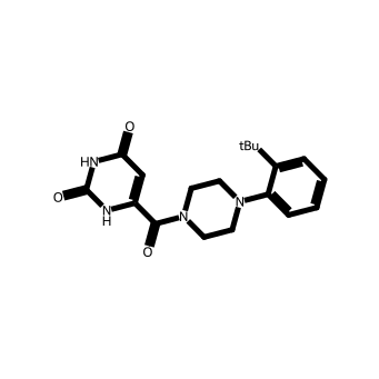 CC(C)(C)c1ccccc1N1CCN(C(=O)c2cc(=O)[nH]c(=O)[nH]2)CC1